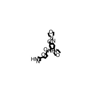 O=C(Nc1cc2oc(N3CCOCC3)nc2cc1N1CCOCC1)c1ccc(-c2cn[nH]c2)o1